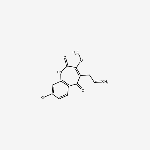 C=CCc1c(OC)c(=O)[nH]c2cc(Cl)ccc2c1=O